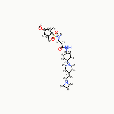 COc1cc(C)c(S(=O)(=O)N(C)CCC(=O)NC2CCC(N3CCC(CCN4CCC4)CC3)CC2)c(C)c1